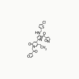 C=Cc1cn(CC(=O)c2ccoc2)c(=O)cc1-c1cc(NCc2ccc(Cl)s2)n(C(=O)c2ccno2)n1